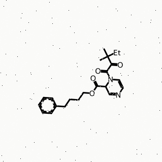 CCC(C)(C)C(=O)C(=O)N1C=CN=CC1C(=O)OCCCCc1ccccc1